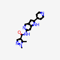 Cc1c(C(=O)Nc2cc3[nH]c(-c4ccncc4)cc3cn2)cnn1C